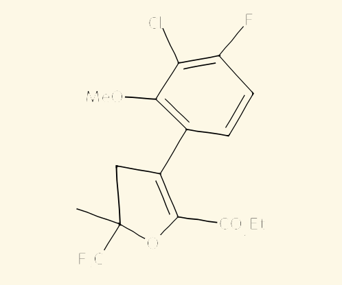 CCOC(=O)C1=C(c2ccc(F)c(Cl)c2OC)CC(C)(C(F)(F)F)O1